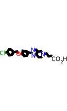 O=C(O)CCCN1CCc2nc(-c3ccc(OCc4ccc(Cl)cc4)cc3)ncc2C1